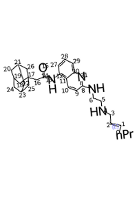 CCC/C=C/CNCCNc1ccc2c(NC(=O)CC34CC5CC(CC(C5)C3)C4)cccc2n1